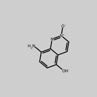 Nc1ccc(O)c2cc[n+]([O-])nc12